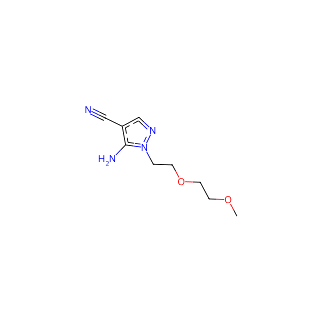 COCCOCCn1ncc(C#N)c1N